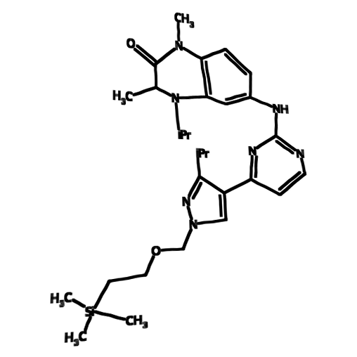 CC(C)c1nn(COCC[Si](C)(C)C)cc1-c1ccnc(Nc2ccc3c(c2)N(C(C)C)C(C)C(=O)N3C)n1